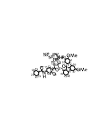 COc1ccc(C(OC[C@H]2O[C@@H](n3ccc(NC(=O)c4ccccc4)nc3=O)[C@H](F)[C@@H]2OP(OCCC#N)N(C(C)C)C(C)C)(c2ccccc2)c2ccc(OC)cc2)cc1